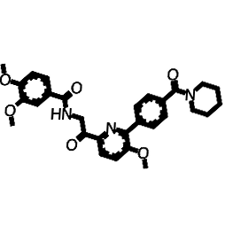 COc1ccc(C(=O)NCC(=O)c2ccc(OC)c(-c3ccc(C(=O)N4CCCCC4)cc3)n2)cc1OC